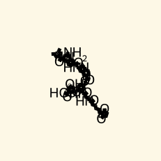 CCCN(CCC)C(=O)C1=Cc2ccc(C(=O)Nc3cnc4c(c3)CN(C(=O)OCc3ccc(O[C@H]5C[C@@H](O)C[C@@H](C(=O)O)O5)c(NC(=O)CCNC(=O)CCCCCN5C(=O)C=CC5=O)c3)CC4)cc2N=C(N)C1